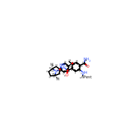 CCCCCNc1cc(C(=O)N[C@H]2C[C@H]3CC[C@@H](C2)N3c2ccc(C(C)=O)cn2)c(C)cc1C(N)=O